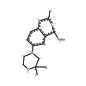 CNc1cc(C)nc2ccc(N3CCOC(C)(C)C3)cc12